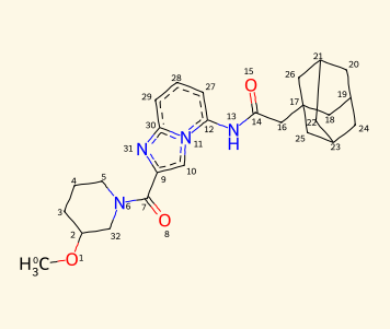 COC1CCCN(C(=O)c2cn3c(NC(=O)CC45CC6CC(CC(C6)C4)C5)cccc3n2)C1